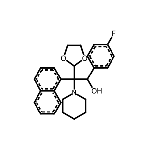 OC(c1ccc(F)cc1)C(c1cccc2ccccc12)(C1OCCO1)N1CCCCC1